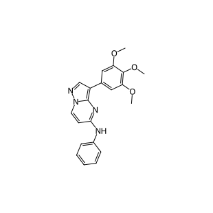 COc1cc(-c2cnn3ccc(Nc4ccccc4)nc23)cc(OC)c1OC